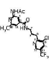 CC(=O)Nc1cc(C(=O)NCCCc2ncc(C(F)(F)F)cc2Cl)cc(C)n1